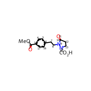 COC(=O)c1ccc(CCN2C(=O)CCN2C(=O)O)cc1